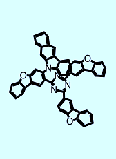 c1ccc2cc3c(cc2c1)c1ccccc1n3-c1cc2oc3ccccc3c2cc1-c1nc(-c2ccc3oc4ccccc4c3c2)nc(-c2ccc3oc4ccccc4c3c2)n1